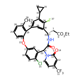 CCOC(=O)C[C@@H]1NC(=O)[C@@H](n2ccc(C(F)(F)F)cc2=O)c2cc(ccc2Cl)Oc2cccc(C)c2-c2cc(C3CC3)c(F)c1c2